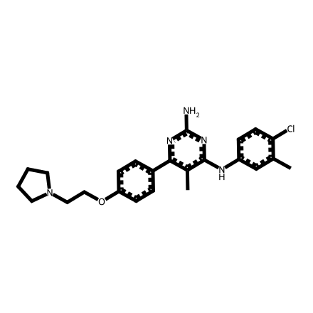 Cc1cc(Nc2nc(N)nc(-c3ccc(OCCN4CCCC4)cc3)c2C)ccc1Cl